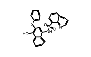 O=S(=O)(Nc1cc(Sc2ccccc2)c(O)c2ccccc12)c1cccc2cccnc12